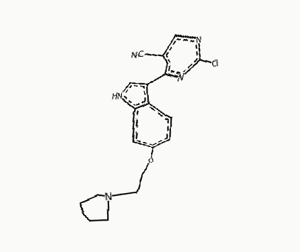 N#Cc1cnc(Cl)nc1-c1c[nH]c2cc(OCCN3CCCC3)ccc12